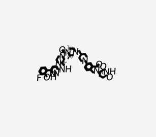 C[C@@H]1CN(CC2CCN(c3ccc4c(c3)C(=O)N([C@H]3CCC(=O)NC3=O)C4)CC2)C[C@@H](C)N1C(=O)N1CCN2c3cc(-c4cccc(F)c4O)nnc3NC[C@]2(C)C1